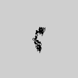 CC(COCCC(=O)N1CCN2c3ncc(C(F)(F)F)cc3OCC2C1)Nc1cn[nH]c(=O)c1C(F)(F)F